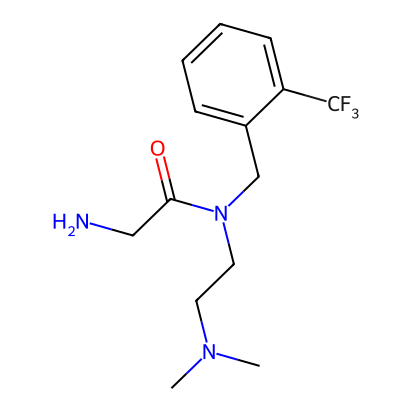 CN(C)CCN(Cc1ccccc1C(F)(F)F)C(=O)CN